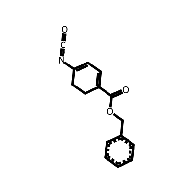 O=C=NC1=CC=C(C(=O)OCc2ccccc2)CC1